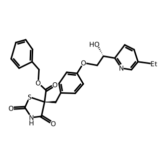 CCc1ccc([C@@H](O)COc2ccc(C[C@]3(C(=O)OCc4ccccc4)SC(=O)NC3=O)cc2)nc1